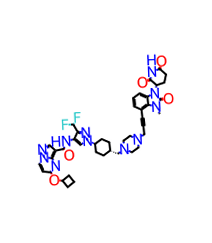 Cn1c(=O)n(C2CCC(=O)NC2=O)c2cccc(C#CCN3CCN(C[C@H]4CC[C@H](n5cc(NC(=O)c6cnn7ccc(OC8CCC8)nc67)c(C(F)F)n5)CC4)CC3)c21